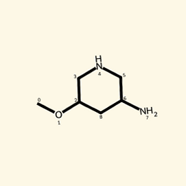 COC1CNCC(N)C1